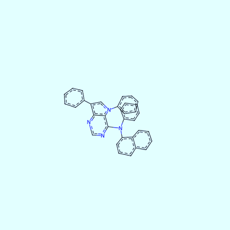 c1ccc(-c2cn(-c3ccccc3)c3c(N(c4ccccc4)c4cccc5ccccc45)ncnc23)cc1